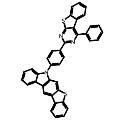 c1ccc(-c2nc(-c3ccc(-n4c5ccccc5c5cc6c(cc54)sc4ccccc46)cc3)nc3sc4ccccc4c23)cc1